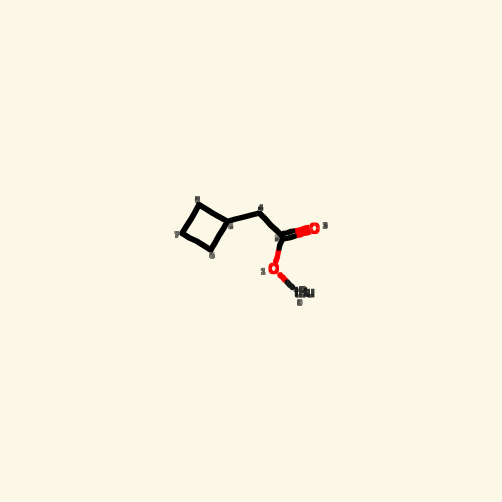 CC(C)(C)OC(=O)CC1CCC1